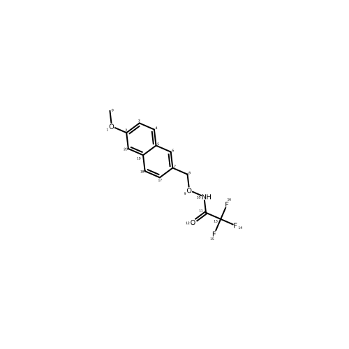 COc1ccc2cc(CONC(=O)C(F)(F)F)ccc2c1